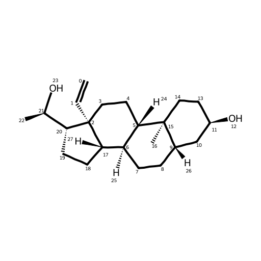 C=C[C@]12CC[C@H]3[C@@H](CC[C@H]4C[C@H](O)CC[C@@]43C)[C@@H]1CC[C@@H]2[C@@H](C)O